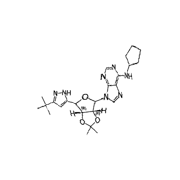 CC1(C)O[C@@H]2C(c3cc(C(C)(C)C)n[nH]3)OC(n3cnc4c(NC5CCCC5)ncnc43)[C@@H]2O1